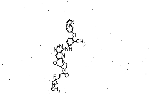 Cc1cc(Nc2ncnc3cc4c(nc23)N2CCN(C(=O)/C=C/C3(F)CN(C)C3)C(CO4)C2)ccc1Oc1ccn2ccnc2c1